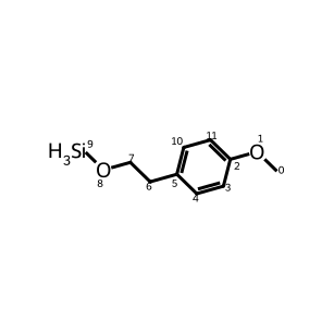 COc1ccc(CCO[SiH3])cc1